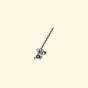 CCCCCCCCCCCCCCCCCCOC(=O)[C@H](Cc1cc(F)cc(F)c1)NC(=O)OC(C)(C)C